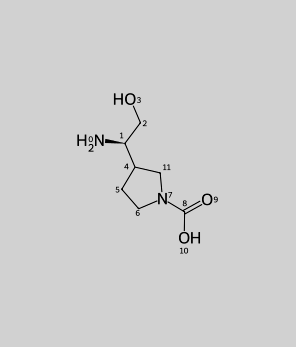 N[C@@H](CO)C1CCN(C(=O)O)C1